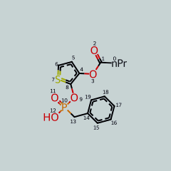 CCCC(=O)Oc1ccsc1OP(=O)(O)Cc1ccccc1